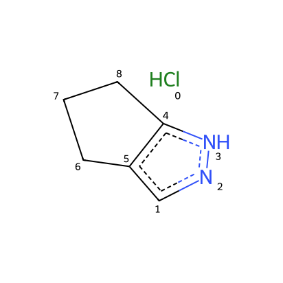 Cl.c1n[nH]c2c1CCC2